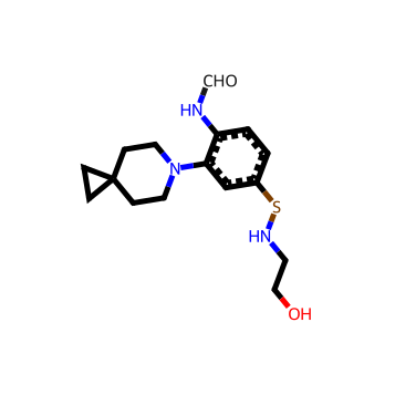 O=CNc1ccc(SNCCO)cc1N1CCC2(CC1)CC2